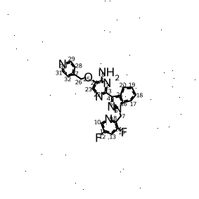 Nc1nc(-c2nn(Cc3ncc(F)cc3F)c3ccccc23)ncc1OCc1ccncc1